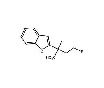 CC(CCF)(C(=O)O)c1cc2ccccc2[nH]1